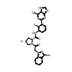 CC(=O)c1nn(CC(=O)N2C[C@H](F)C[C@H]2C(=O)Nc2cccc(-c3nc(Cl)c4[nH]cnc4n3)c2F)c2ccccc12